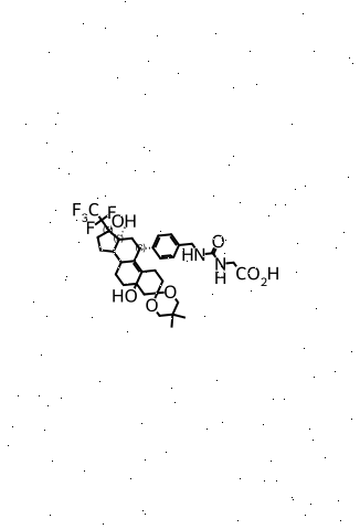 CC1(C)COC2(CCC3=C4C(CCC3(O)C2)C2CC[C@@](O)(C(F)(F)C(F)(F)F)[C@@]2(C)C[C@@H]4c2ccc(CNC(=O)NCC(=O)O)cc2)OC1